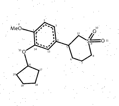 COc1ccc(C2CCCS(=O)(=O)C2)cc1OC1CCCC1